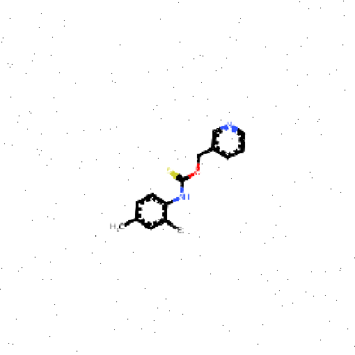 CCc1cc(C)ccc1NC(=S)OCc1cccnc1